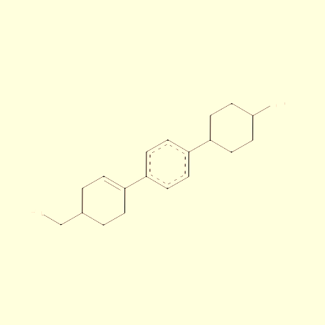 CCCCCCCCC1CCC(c2ccc(C3=CCC(CC(C)CC)CC3)cc2)CC1